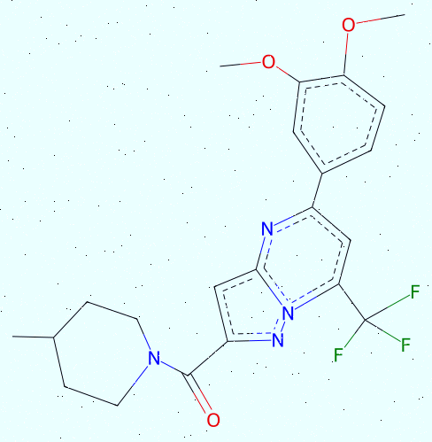 COc1ccc(-c2cc(C(F)(F)F)n3nc(C(=O)N4CCC(C)CC4)cc3n2)cc1OC